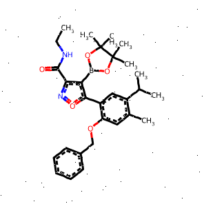 CCNC(=O)c1noc(-c2cc(C(C)C)c(C)cc2OCc2ccccc2)c1B1OC(C)(C)C(C)(C)O1